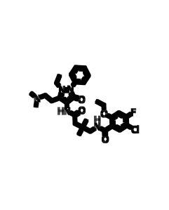 CCOc1cc(F)c(Cl)cc1C(=O)NCC(C)(C)CC(=O)Nc1c(CCN(C)C)n(CC)n(-c2ccccc2)c1=O